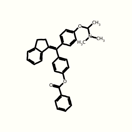 CC(Oc1ccc(C(=C2CCc3ccccc32)c2ccc(OC(=O)c3ccccc3)cc2)cc1)N(C)C